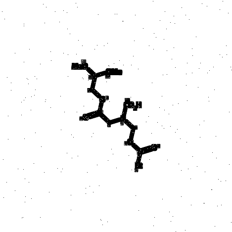 CCC(=O)OCN(CC(=O)OCC(OC)OC)C(=O)O